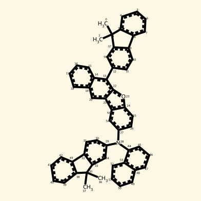 CC1(C)c2ccccc2-c2ccc(-c3c4ccccc4cc4c3oc3ccc(N(c5ccc6c(c5)C(C)(C)c5ccccc5-6)c5cccc6ccccc56)cc34)cc21